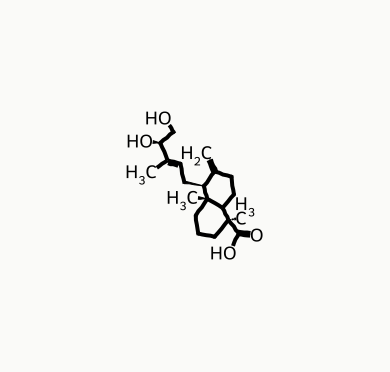 C=C1CCC2[C@](C)(CCC[C@]2(C)C(=O)O)[C@H]1C/C=C(\C)[C@@H](O)CO